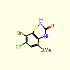 COc1cc(Cl)c(Br)c2c1NC(=O)NS2